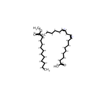 CCCCC/C=C\C/C=C\CCCCCCCC(=O)O.CCCCCCCCCCCC(=O)OC